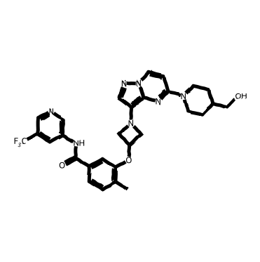 Cc1ccc(C(=O)Nc2cncc(C(F)(F)F)c2)cc1OC1CN(c2cnn3ccc(N4CCC(CO)CC4)nc23)C1